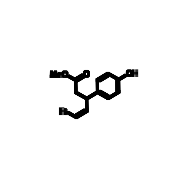 CC/C=C\C(CC(=O)OC)c1ccc(O)cc1